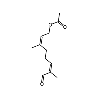 CC(=O)OCC=C(C)CCC=C(C)C=O